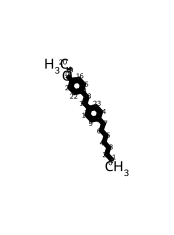 CCCCCCCCc1ccc(C=Cc2ccc(OCC)cc2)cc1